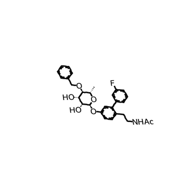 CC(=O)NCCc1ccc(O[C@@H]2O[C@@H](C)[C@H](OCc3ccccc3)[C@@H](O)[C@H]2O)cc1-c1cccc(F)c1